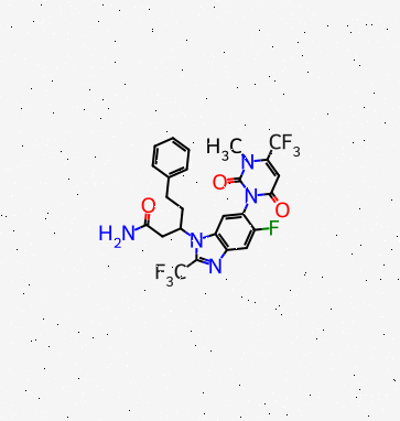 Cn1c(C(F)(F)F)cc(=O)n(-c2cc3c(cc2F)nc(C(F)(F)F)n3C(CCc2ccccc2)CC(N)=O)c1=O